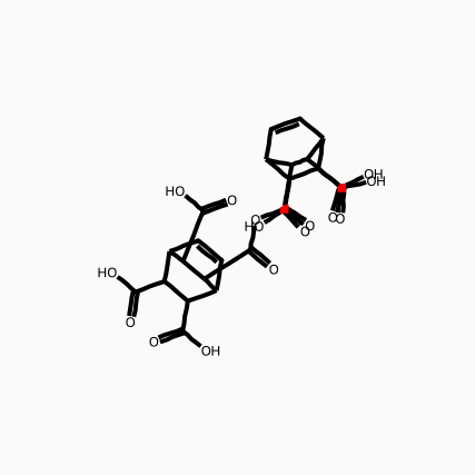 O=C(O)C1C2C=CC(C1C(=O)O)C(C(=O)OC(=O)C1C3C=CC(C(C(=O)O)C3C(=O)O)C1C(=O)O)C2C(=O)O